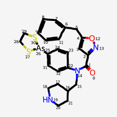 O=C(c1cc(Cc2ccccc2)on1)N(CC1CCNCC1)c1ccc([As]2SCCS2)cc1